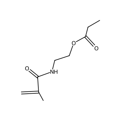 C=C(C)C(=O)NCCOC(=O)CC